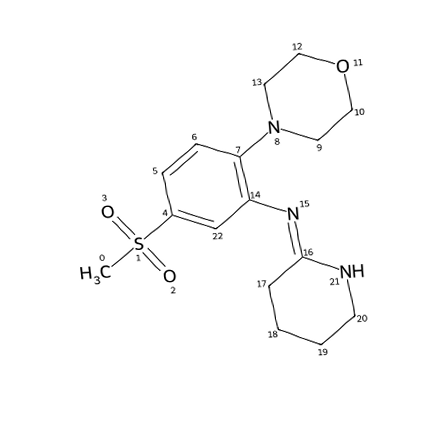 CS(=O)(=O)c1ccc(N2CCOCC2)c(N=C2CCCCN2)c1